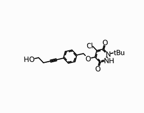 CC(C)(C)n1[nH]c(=O)c(OCc2ccc(C#CCCO)cc2)c(Cl)c1=O